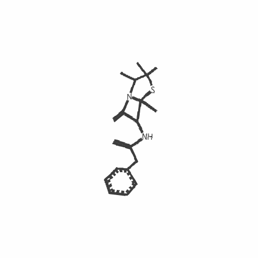 C=C(Cc1ccccc1)NC1C(=C)N2C(C)C(C)(C)SC12C